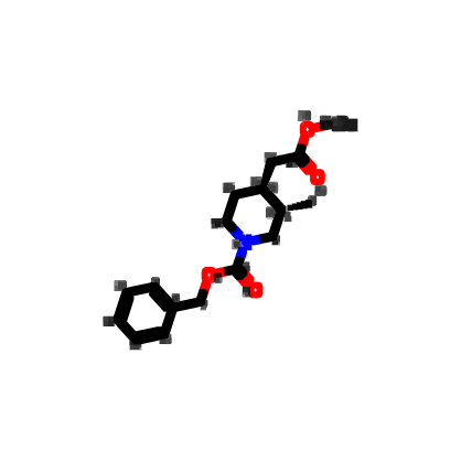 C[C@@H]1CN(C(=O)OCc2ccccc2)CC[C@H]1CC(=O)OC(C)(C)C